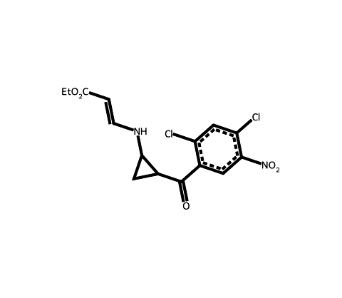 CCOC(=O)C=CNC1CC1C(=O)c1cc([N+](=O)[O-])c(Cl)cc1Cl